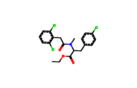 CCOC(=O)C(Cc1ccc(Cl)cc1)N(C)C(=O)Cc1c(Cl)cccc1Cl